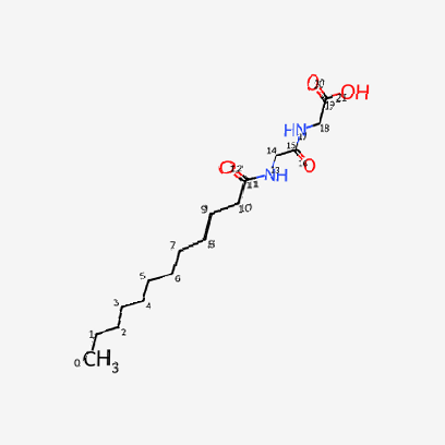 CCCCCCCCCCCC(=O)NCC(=O)NCC(=O)O